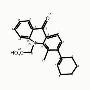 Cc1c(C2=CCCCC2)ccc2c(=O)c3ccccc3n(CC(=O)O)c12